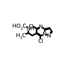 CC(Cc1c(Cl)nc2ccnn2c1Cl)NC(=O)O